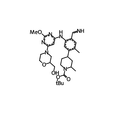 COc1nc(Nc2cc(C3CCN(C(=O)OC(C)(C)C)C(C)C3)c(C)cc2C=N)cc(N2CCOC(CO)C2)n1